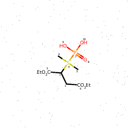 CCOC(=O)CC(C(=O)OCC)S(C)(C)P(=O)(O)O